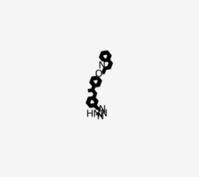 CC(Cc1cccc(-c2nnn[nH]2)c1)c1ccc(OCc2ccc3ccccc3n2)cc1